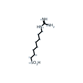 N=C(N)NCCCCCCCCS(=O)(=O)O